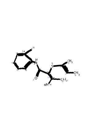 CC=C(C)S/C(C(=O)Nc1ccccc1I)=C(\C)CCC